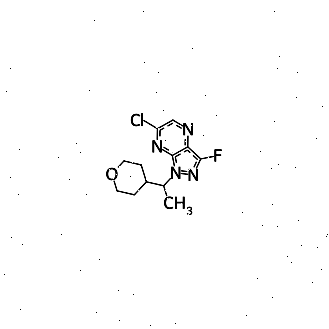 CC(C1CCOCC1)n1nc(F)c2ncc(Cl)nc21